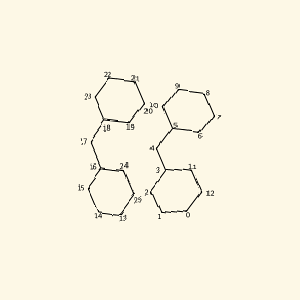 C1CCC(CC2CCCCC2)CC1.C1CCC(CC2CCCCC2)CC1